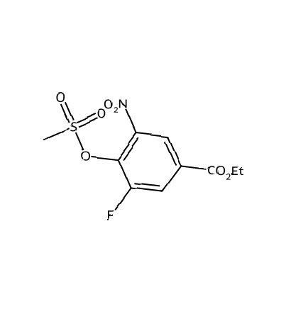 CCOC(=O)c1cc(F)c(OS(C)(=O)=O)c([N+](=O)[O-])c1